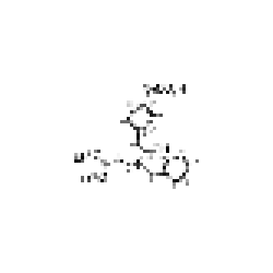 CCOC(CCN(Cc1ccccc1)C(O)Cc1ccc(CC(=O)O)cc1)OCC